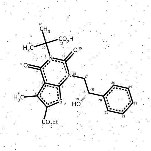 CCOC(=O)c1sc2c(c1C)c(=O)n(C(C)(C)C(=O)O)c(=O)n2C[C@@H](O)c1ccccc1